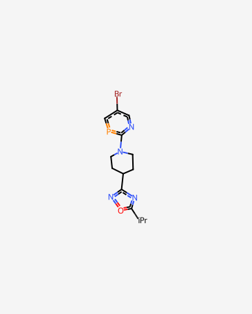 CC(C)c1nc(C2CCN(c3ncc(Br)cp3)CC2)no1